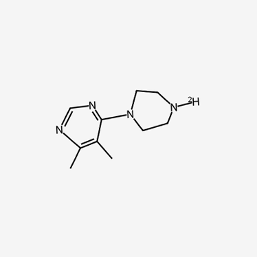 [2H]N1CCN(c2ncnc(C)c2C)CC1